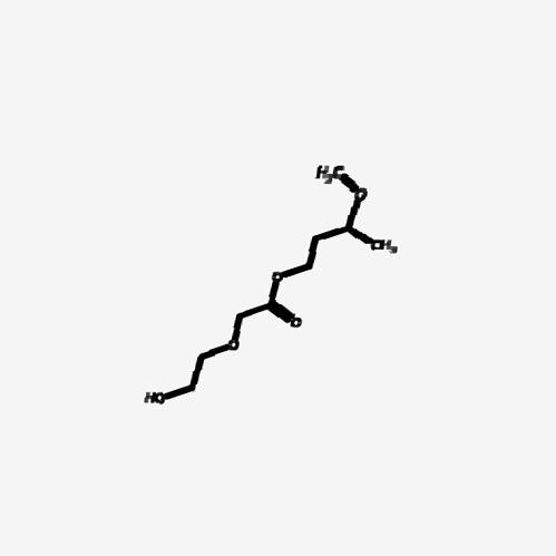 COC(C)CCOC(=O)COCCO